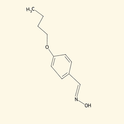 CCCCOc1ccc(C=NO)cc1